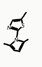 Cc1cnc(-n2c(C)ccc2C)s1